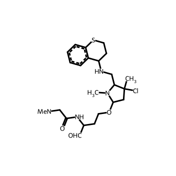 CNCC(=O)NC(C=O)CCOC1CC(C)(Cl)C(CNC2CCSc3ccccc32)N1C